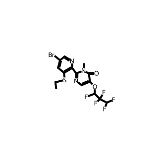 CCSc1cc(Br)cnc1-c1ncc(OC(F)C(F)(F)C(F)F)c(=O)n1C